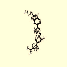 Cn1c(N)nc2cc(-c3cn(Cc4ncc(-c5nnc(C(F)F)o5)cc4F)nn3)ccc21